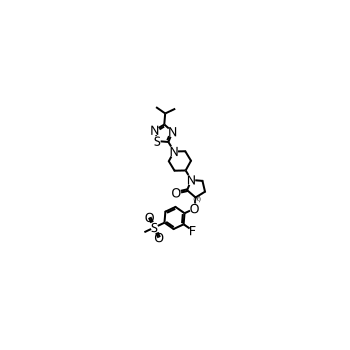 CC(C)c1nsc(N2CCC(N3CC[C@@H](Oc4ccc(S(C)(=O)=O)cc4F)C3=O)CC2)n1